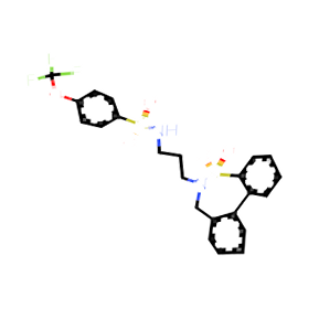 O=S(=O)(NCCCN1Cc2ccccc2-c2ccccc2S1(=O)=O)c1ccc(OC(F)(F)F)cc1